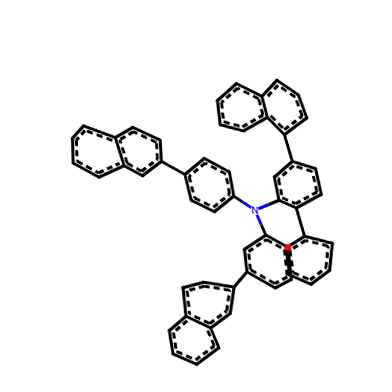 c1ccc(-c2ccc(-c3cccc4ccccc34)cc2N(c2ccc(-c3ccc4ccccc4c3)cc2)c2cccc(-c3ccc4ccccc4c3)c2)cc1